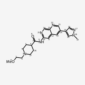 COCCN1CCC(C(=O)Nc2cc3cc(-c4cnn(C)c4)cnc3cn2)CC1